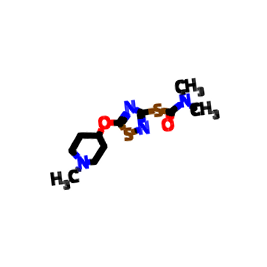 CN1CCC(Oc2nc(SC(=O)N(C)C)ns2)CC1